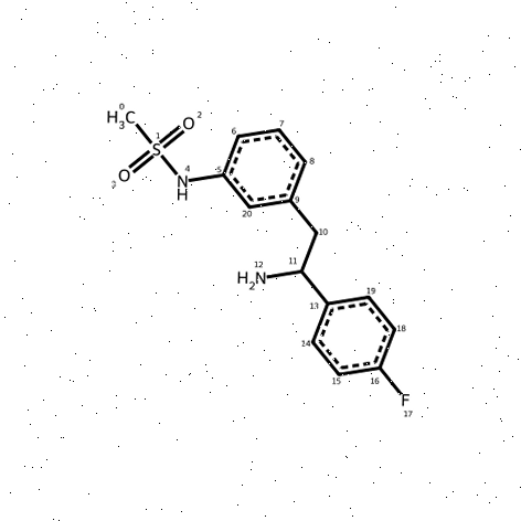 CS(=O)(=O)Nc1cccc(CC(N)c2ccc(F)cc2)c1